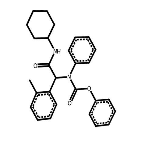 Cc1ccccc1C(C(=O)NC1CCCCC1)N(C(=O)Oc1ccccc1)c1ccccc1